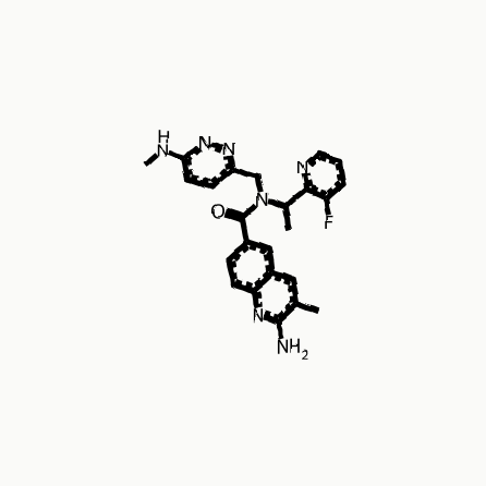 CNc1ccc(CN(C(=O)c2ccc3nc(N)c(C)cc3c2)C(C)c2ncccc2F)nn1